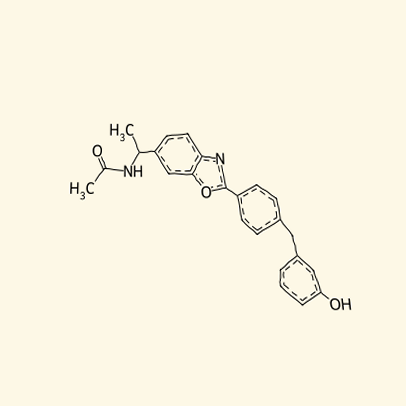 CC(=O)NC(C)c1ccc2nc(-c3ccc(Cc4cccc(O)c4)cc3)oc2c1